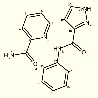 NC(=O)c1ccccn1.O=C(Nc1ccccc1)c1cc[nH]n1